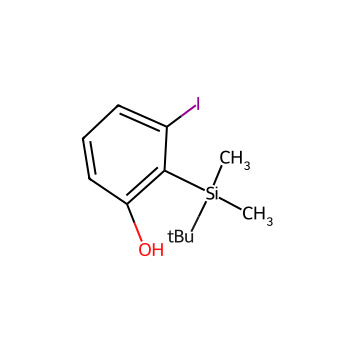 CC(C)(C)[Si](C)(C)c1c(O)cccc1I